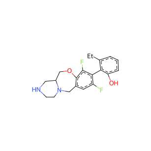 CCc1cccc(O)c1-c1c(F)cc2c(c1F)OCC1CNCCN1C2